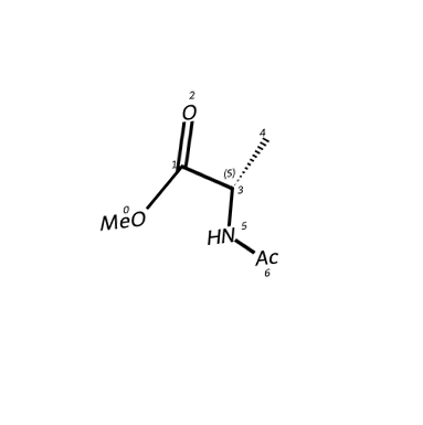 COC(=O)[C@H](C)NC(C)=O